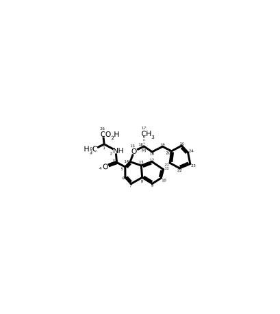 CC(NC(=O)c1ccc2ccccc2c1O[C@H](C)CCc1ccccc1)C(=O)O